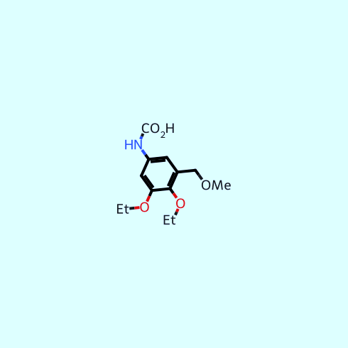 CCOc1cc(NC(=O)O)cc(COC)c1OCC